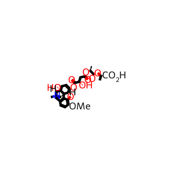 COc1ccc2c3c1O[C@@H]1C(OC(=O)[C@@H](O)CC(=O)O[C@@H](C)C(=O)O[C@@H](C)C(=O)O)=CC[C@]4(O)[C@H](C2)N(C)CC[C@@]314